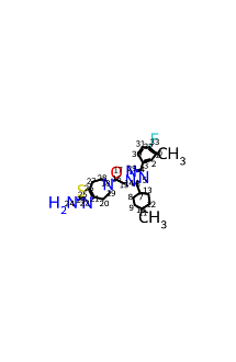 Cc1cc(-c2nc(C3CCC(C)CC3)n(CC(=O)N3CCc4nc(N)sc4CC3)n2)ccc1F